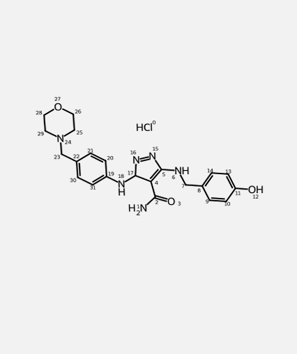 Cl.NC(=O)C1=C(NCc2ccc(O)cc2)N=NC1Nc1ccc(CN2CCOCC2)cc1